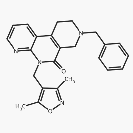 Cc1noc(C)c1Cn1c(=O)c2c(c3cccnc31)CCN(Cc1ccccc1)C2